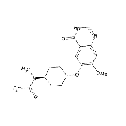 COc1cc2nc[nH]c(=O)c2cc1O[C@H]1CC[C@H](N(C)C(=O)C(F)(F)F)CC1